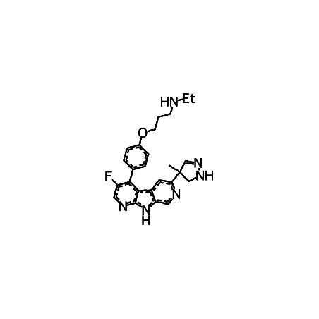 CCNCCCOc1ccc(-c2c(F)cnc3[nH]c4cnc(C5(C)C=NNC5)cc4c23)cc1